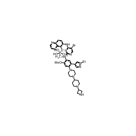 CCn1cc(-c2cc(Nc3ncc(Br)c(Nc4ccc5nccnc5c4OP(C)(C)(O)O)n3)c(OC)cc2N2CCN(C3CCN(C4CNC4)CC3)CC2)cn1